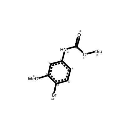 COc1cc(NC(=O)OC(C)(C)C)ccc1Br